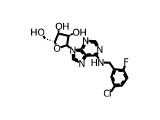 OC[C@H]1OC(n2cnc3c(NCc4cc(Cl)ccc4F)ncnc32)[C@H](O)[C@@H]1O